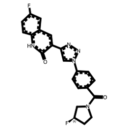 O=C(c1ccc(-n2cc(-c3cc4cc(F)ccc4[nH]c3=O)nn2)cc1)N1CC[C@@H](F)C1